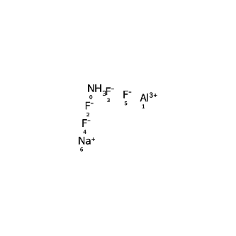 N.[Al+3].[F-].[F-].[F-].[F-].[Na+]